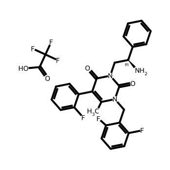 Cc1c(-c2ccccc2F)c(=O)n(C[C@H](N)c2ccccc2)c(=O)n1Cc1c(F)cccc1F.O=C(O)C(F)(F)F